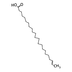 CC=CCCCCCCCCCCCCCCCCCCCC(=O)O